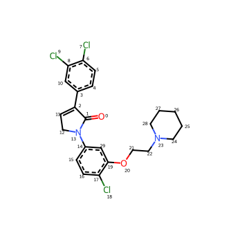 O=C1C(c2ccc(Cl)c(Cl)c2)=CCN1c1ccc(Cl)c(OCCN2CCCCC2)c1